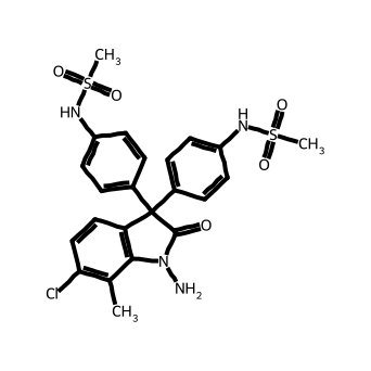 Cc1c(Cl)ccc2c1N(N)C(=O)C2(c1ccc(NS(C)(=O)=O)cc1)c1ccc(NS(C)(=O)=O)cc1